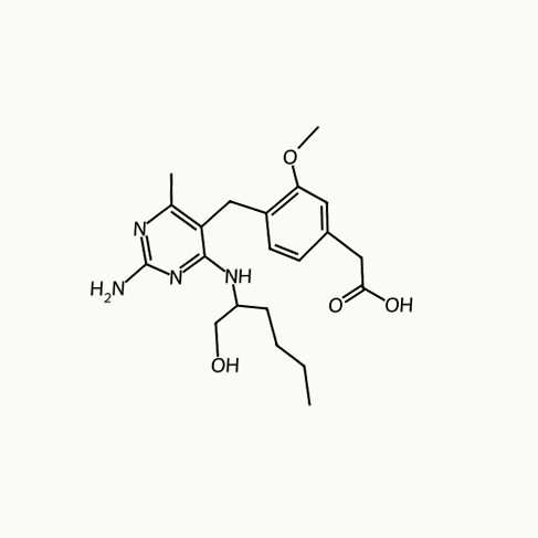 CCCCC(CO)Nc1nc(N)nc(C)c1Cc1ccc(CC(=O)O)cc1OC